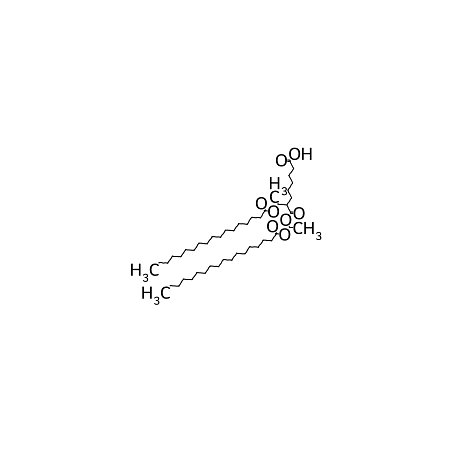 CCCCCCCCCCCCCCCCCC(=O)OC(C)OC(=O)C(CCCCCC(=O)O)C(C)OC(=O)CCCCCCCCCCCCCCCCC